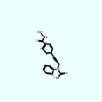 CCCCC(=O)N(CC#Cc1ccc(C(=O)NCC)cc1)c1ccccc1